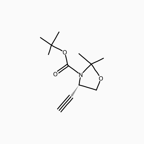 C#C[C@H]1COC(C)(C)N1C(=O)OC(C)(C)C